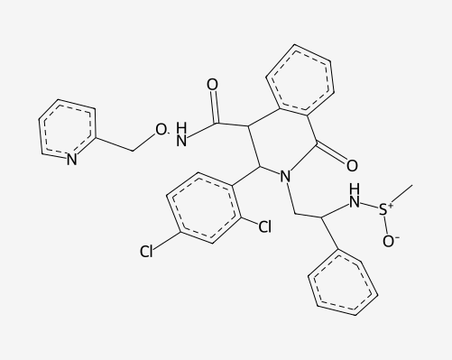 C[S+]([O-])NC(CN1C(=O)c2ccccc2C(C(=O)NOCc2ccccn2)C1c1ccc(Cl)cc1Cl)c1ccccc1